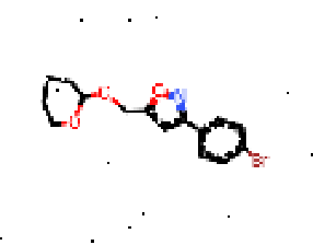 Brc1ccc(-c2cc(COC3CCCCO3)on2)cc1